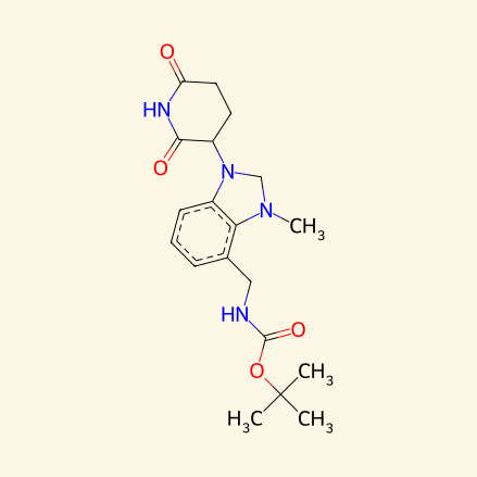 CN1CN(C2CCC(=O)NC2=O)c2cccc(CNC(=O)OC(C)(C)C)c21